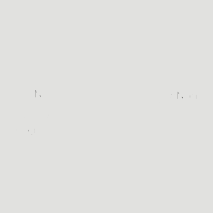 CCCCCCCCCCCCCCCCCC(=O)N(C)CC1CO1